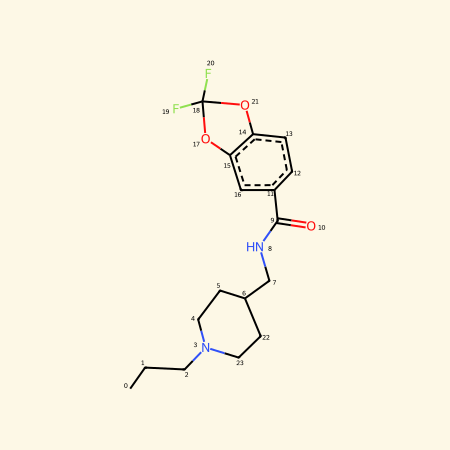 CCCN1CCC(CNC(=O)c2ccc3c(c2)OC(F)(F)O3)CC1